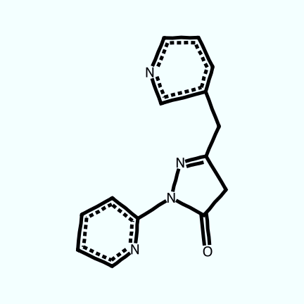 O=C1CC(Cc2cccnc2)=NN1c1ccccn1